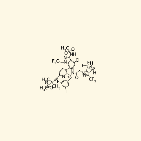 CC(C)(C#Cc1ccc(-c2ccc(Cl)c3c(NS(C)(=O)=O)nn(CC(F)(F)F)c23)c([C@H](Cc2cc(I)cc(I)c2)NC(=O)Cn2nc(C(F)(F)F)c3c2C(F)(F)[C@@H]2C[C@H]32)n1)S(C)(=O)=O